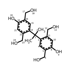 CC(C)(c1cc(CO)c(O)cc1CO)c1cc(CO)c(O)cc1CO